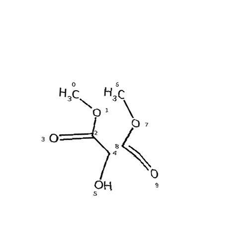 COC(=O)CO.COC=O